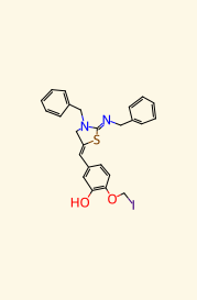 Oc1cc(/C=C2/CN(Cc3ccccc3)/C(=N/Cc3ccccc3)S2)ccc1OCI